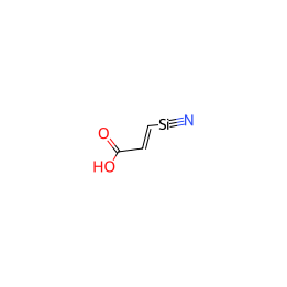 N#[Si]C=CC(=O)O